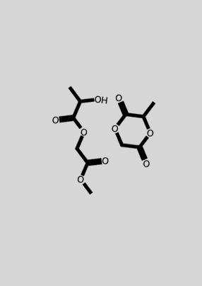 CC1OC(=O)COC1=O.COC(=O)COC(=O)C(C)O